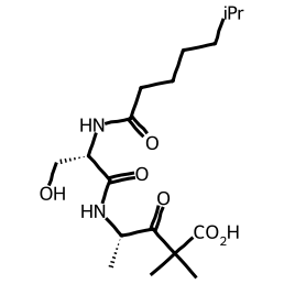 CC(C)CCCCC(=O)N[C@@H](CO)C(=O)N[C@@H](C)C(=O)C(C)(C)C(=O)O